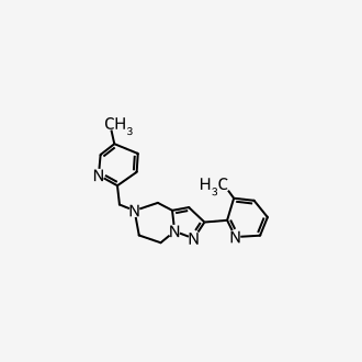 Cc1ccc(CN2CCn3nc(-c4ncccc4C)cc3C2)nc1